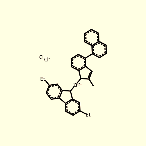 CCc1ccc2c(c1)[CH]([Zr+2][CH]1C(C)=Cc3c(-c4cccc5ccccc45)cccc31)c1cc(CC)ccc1-2.[Cl-].[Cl-]